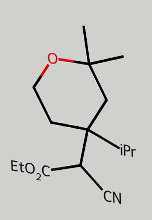 CCOC(=O)C(C#N)C1(C(C)C)CCOC(C)(C)C1